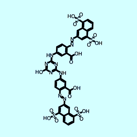 O=C(O)c1cc(Nc2nc(O)nc(Nc3ccc(/N=N/c4cc(S(=O)(=O)O)c5cccc(S(=O)(=O)O)c5c4)c(C(=O)O)c3)n2)ccc1/N=N/c1cc(S(=O)(=O)O)c2cccc(S(=O)(=O)O)c2c1